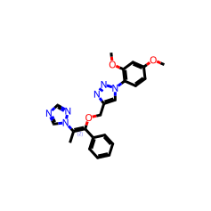 COc1ccc(-n2cc(CO/C(=C(/C)n3cncn3)c3ccccc3)nn2)c(OC)c1